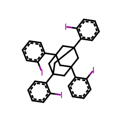 Ic1ccccc1C12CC3(c4ccccc4I)CC(c4ccccc4I)(C1)CC(c1ccccc1I)(C2)C3